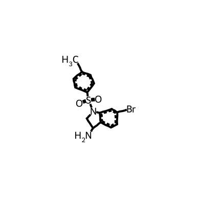 Cc1ccc(S(=O)(=O)N2CC(N)c3ccc(Br)cc32)cc1